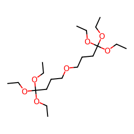 CCOC(CCCOCCCC(OCC)(OCC)OCC)(OCC)OCC